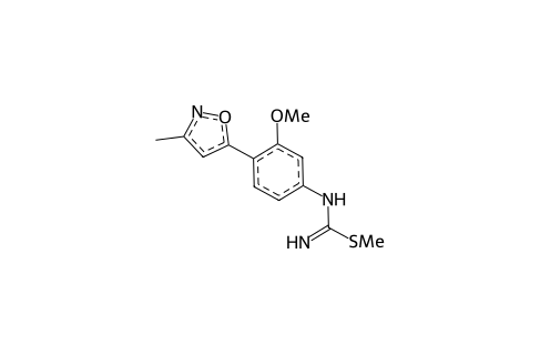 COc1cc(NC(=N)SC)ccc1-c1cc(C)no1